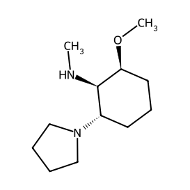 CN[C@H]1[C@@H](OC)CCC[C@@H]1N1CCCC1